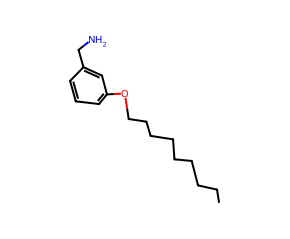 CCCCCCCCCOc1cccc(CN)c1